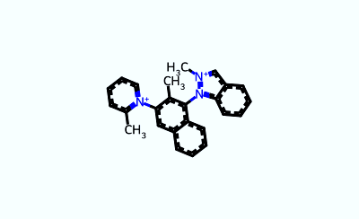 Cc1c(-[n+]2ccccc2C)cc2ccccc2c1-n1c2ccccc2c[n+]1C